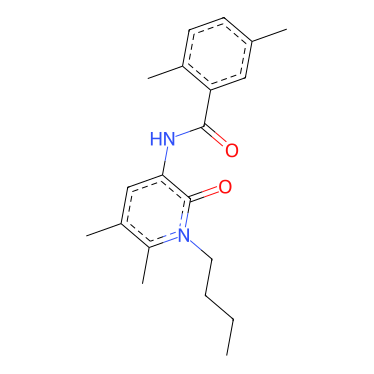 CCCCn1c(C)c(C)cc(NC(=O)c2cc(C)ccc2C)c1=O